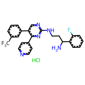 Cl.NC(CCNc1ncc(-c2cccc(C(F)(F)F)c2)c(-c2ccncc2)n1)c1ccccc1F